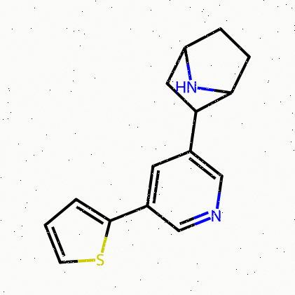 c1csc(-c2cncc(C3CC4CCC3N4)c2)c1